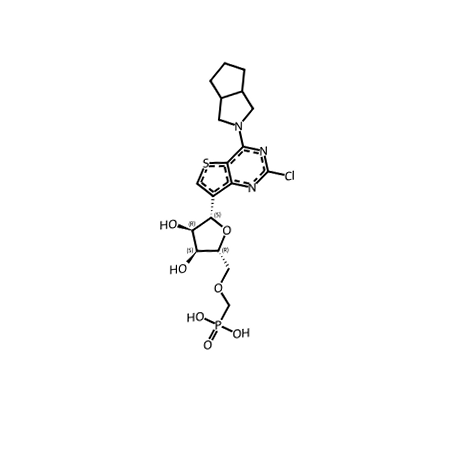 O=P(O)(O)COC[C@H]1O[C@@H](c2csc3c(N4CC5CCCC5C4)nc(Cl)nc23)[C@H](O)[C@@H]1O